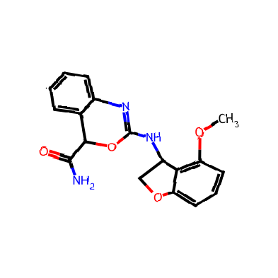 COc1cccc2c1C(NC1=Nc3cc[c]cc3C(C(N)=O)O1)CO2